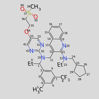 CCC(c1cc(C)cc(C(F)(F)F)c1)N(Cc1cc2ccccc2nc1N(CC)CC1CCCC1)c1ncc(OCCS(C)(=O)=O)cn1